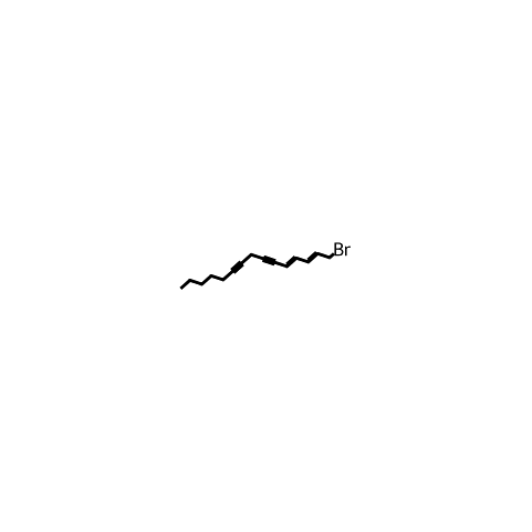 CCCCCC#CCC#CC=CC=CCBr